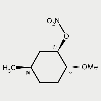 CO[C@@H]1CC[C@@H](C)C[C@H]1O[N+](=O)[O-]